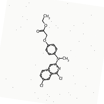 CCOC(=O)COc1ccc(N(C)c2cc3ccc(Cl)cc3c(Cl)n2)cc1